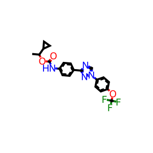 CC(OC(=O)Nc1ccc(-c2ncn(-c3ccc(OC(F)(F)F)cc3)n2)cc1)C1CC1